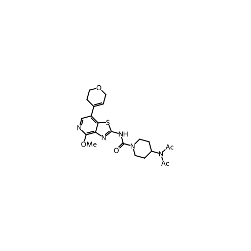 COc1ncc(C2=CCOCC2)c2sc(NC(=O)N3CCC(N(C(C)=O)C(C)=O)CC3)nc12